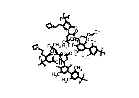 CCOC(=O)C[C@H](NC(=O)C(CC(C)(C)F)n1cc(CCN2CCC2)c(C(F)(F)F)cc1=O)c1c(F)c(C)cc(-c2c(C)cc(C(F)(F)F)cc2C)c1F.Cc1cc(-c2c(C)cc(C(F)(F)F)cc2C)c(F)c([C@H](CC(=O)O)NC(=O)C(CC(C)(C)F)n2cc(CCN3CCC3)c(C(F)(F)F)cc2=O)c1F